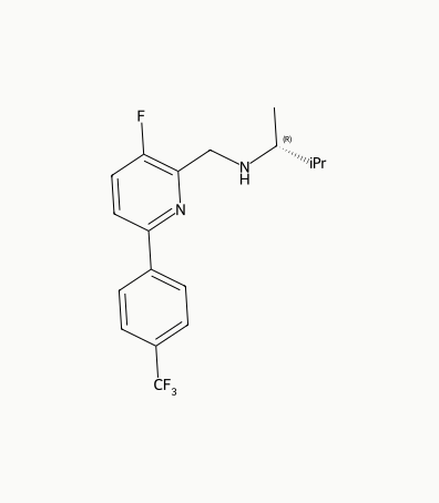 CC(C)[C@@H](C)NCc1nc(-c2ccc(C(F)(F)F)cc2)ccc1F